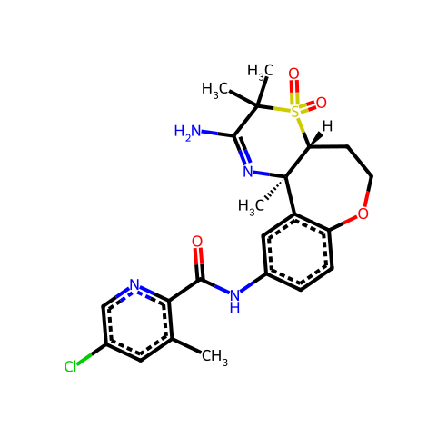 Cc1cc(Cl)cnc1C(=O)Nc1ccc2c(c1)[C@@]1(C)N=C(N)C(C)(C)S(=O)(=O)[C@@H]1CCO2